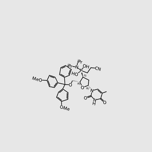 COc1ccc(C(OC[C@H]2O[C@@H](n3cc(C)c(=O)[nH]c3=O)C[C@@H]2P(O)(O)(CCC#N)N(C(C)C)C(C)C)(c2ccccc2)c2ccc(OC)cc2)cc1